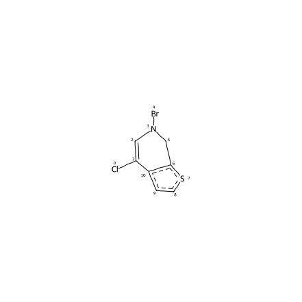 ClC1=CN(Br)Cc2sccc21